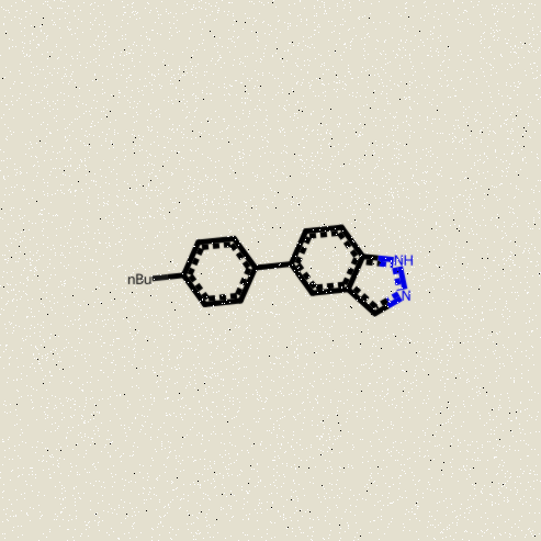 CCCCc1ccc(-c2ccc3[nH]ncc3c2)cc1